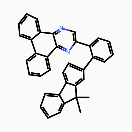 CC1(C)c2ccccc2-c2ccc(-c3ccccc3-c3cnc4c5ccccc5c5ccccc5c4n3)cc21